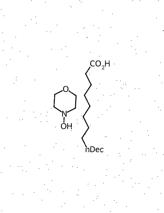 CCCCCCCCCCCCCCCCCC(=O)O.ON1CCOCC1